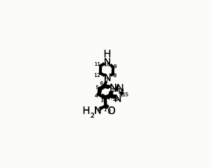 NC(=O)c1ccc(N2CCNCC2)n2n[c]nc12